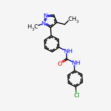 CCc1cnn(C)c1-c1cccc(NC(=O)Nc2ccc(Cl)cc2)c1